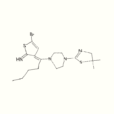 CCCC/C(=C1/C=C(Br)SC1=N)N1CCN(C2=NCC(C)(C)S2)CC1